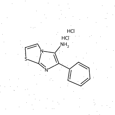 Cl.Cl.Nc1c(-c2ccccc2)nc2sccn12